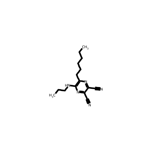 CCCCCCc1nc(C#N)c(C#N)nc1NCCC